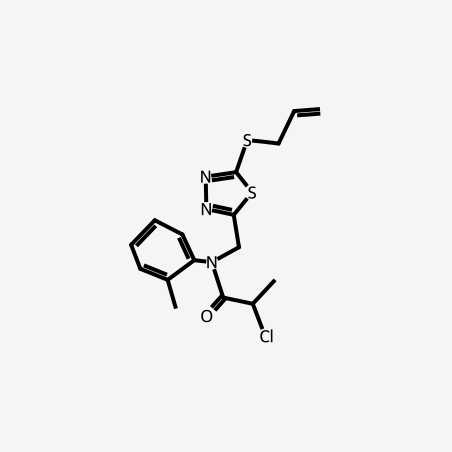 C=CCSc1nnc(CN(C(=O)C(C)Cl)c2ccccc2C)s1